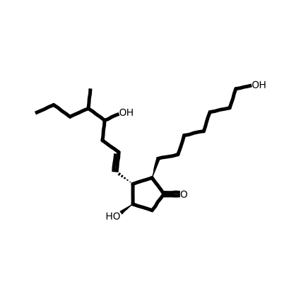 CCCC(C)C(O)C/C=C/[C@H]1[C@H](O)CC(=O)[C@@H]1CCCCCCCO